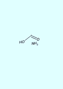 N.O=[C]O